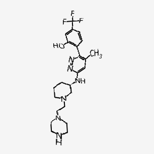 Cc1cc(N[C@@H]2CCCN(CCN3CCNCC3)C2)nnc1-c1ccc(C(F)(F)F)cc1O